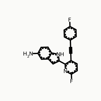 Nc1ccc2[nH]c(-c3nc(F)ccc3C#Cc3ccc(F)cc3)cc2c1